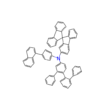 c1ccc(-c2ccccc2-c2ccc(N(c3ccc(-c4cccc5ccccc45)cc3)c3ccc4c(c3)C3(c5ccccc5-c5ccccc53)c3ccccc3-4)cc2-c2ccccc2)cc1